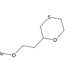 CCC(C)OCCC1CSCCO1